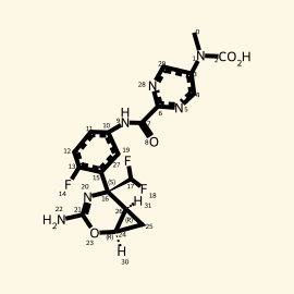 CN(C(=O)O)c1cnc(C(=O)Nc2ccc(F)c([C@@]3(C(F)F)N=C(N)O[C@@H]4C[C@@H]43)c2)nc1